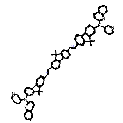 CC1(C)c2cc(/C=C/c3ccc4c(c3)C(C)(C)c3cc(N(C5=CN=CCC5)c5ccc6ccccc6n5)ccc3-4)ccc2-c2ccc(/C=C/c3ccc4c(c3)C(C)(C)c3cc(N(c5cccnc5)c5ccc6ccccc6n5)ccc3-4)cc21